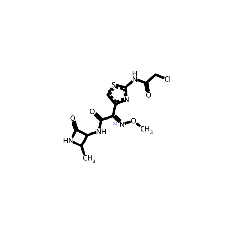 CO/N=C(/C(=O)NC1C(=O)NC1C)c1csc(NC(=O)CCl)n1